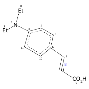 CCN(CC)c1ccc(/C=C/C(=O)O)cc1